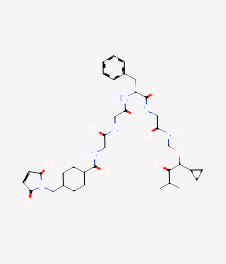 CC(C)C(=O)C(OCNC(=O)CNC(=O)[C@H](Cc1ccccc1)NC(=O)CNC(=O)CNC(=O)C1CCC(CN2C(=O)C=CC2=O)CC1)C1CC1